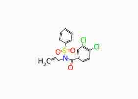 C=CCN(C(=O)c1ccc(Cl)c(Cl)c1)S(=O)(=O)c1ccccc1